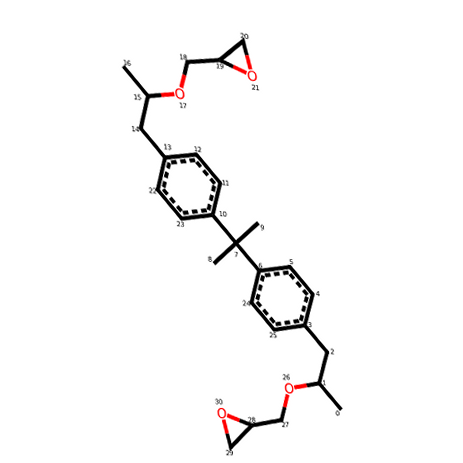 CC(Cc1ccc(C(C)(C)c2ccc(CC(C)OCC3CO3)cc2)cc1)OCC1CO1